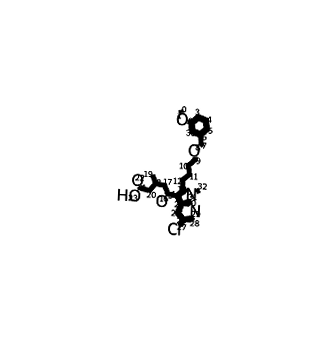 COc1cccc(COCCCCc2c(C(=O)CC(C)CC(=O)O)c3cc(Cl)cnc3n2C)c1